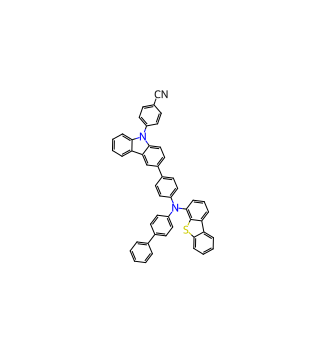 N#Cc1ccc(-n2c3ccccc3c3cc(-c4ccc(N(c5ccc(-c6ccccc6)cc5)c5cccc6c5sc5ccccc56)cc4)ccc32)cc1